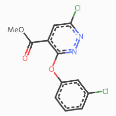 COC(=O)c1cc(Cl)nnc1Oc1cccc(Cl)c1